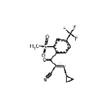 CS(=O)(=O)c1cc(C(F)(F)F)ccc1C(=O)/C(=[C]/C1CC1)C#N